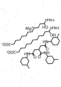 CC1CCCC(NC(=O)CC(CC(=O)NC2CCCC(C)C2)C(=O)NC2CCCC(C)C2)C1.CCCCCCC(O)CCCCCCCCCCC(=O)[O-].CCCCCCC(O)CCCCCCCCCCC(=O)[O-].[Mg+2]